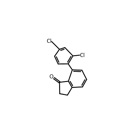 O=C1CCc2cccc(-c3ccc(Cl)cc3Cl)c21